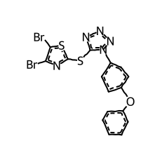 Brc1nc(Sc2nnnn2-c2ccc(Oc3ccccc3)cc2)sc1Br